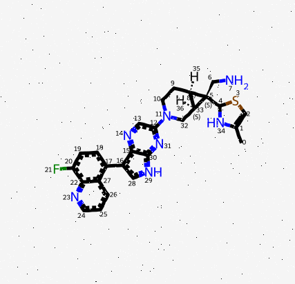 CC1=CSC([C@@]2(CN)[C@@H]3CCN(c4cnc5c(-c6ccc(F)c7ncccc67)c[nH]c5n4)C[C@@H]32)N1